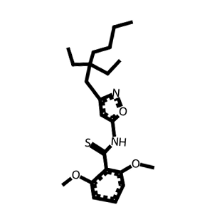 CCCCC(CC)(CC)Cc1cc(NC(=S)c2c(OC)cccc2OC)on1